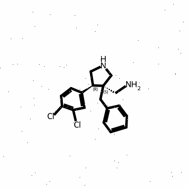 NC[C@@]1(Cc2ccccc2)CNC[C@@H]1c1ccc(Cl)c(Cl)c1